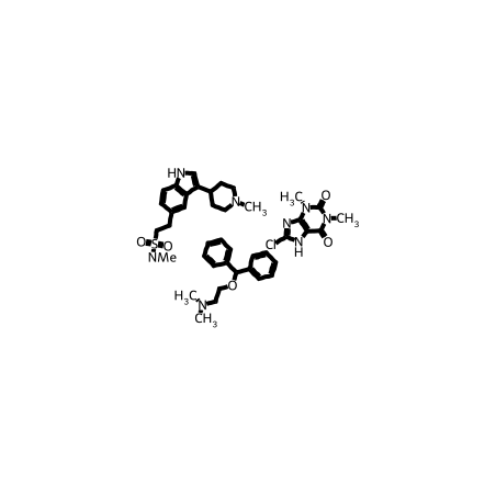 CN(C)CCOC(c1ccccc1)c1ccccc1.CNS(=O)(=O)CCc1ccc2[nH]cc(C3CCN(C)CC3)c2c1.Cn1c(=O)c2[nH]c(Cl)nc2n(C)c1=O